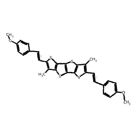 COc1ccc(/C=C/c2sc3c(sc4c5sc(/C=C/c6ccc(OC)cc6)c(C)c5sc34)c2C)cc1